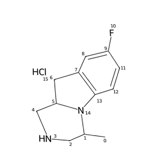 CC1CNCC2Cc3cc(F)ccc3N12.Cl